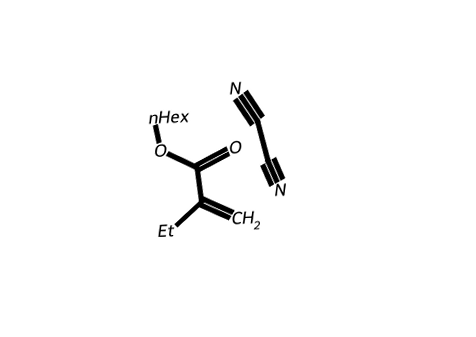 C=C(CC)C(=O)OCCCCCC.N#CC#N